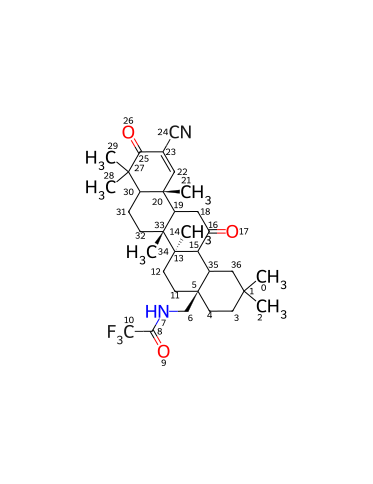 CC1(C)CC[C@]2(CNC(=O)C(F)(F)F)CC[C@]3(C)C(C(=O)CC4[C@@]5(C)C=C(C#N)C(=O)C(C)(C)C5CC[C@]43C)C2C1